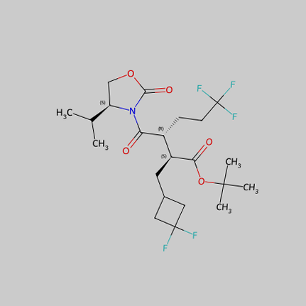 CC(C)[C@H]1COC(=O)N1C(=O)[C@H](CCC(F)(F)F)[C@H](CC1CC(F)(F)C1)C(=O)OC(C)(C)C